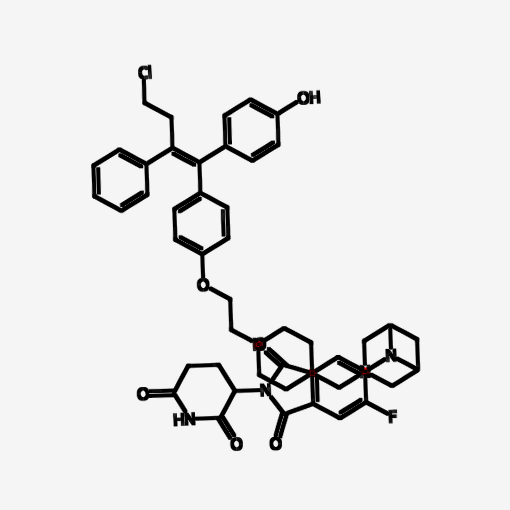 O=C1CCC(N2C(=O)c3cc(F)c(N4C5CC4CN(CC4CCN(CCOc6ccc(C(=C(CCCl)c7ccccc7)c7ccc(O)cc7)cc6)CC4)C5)cc3C2=O)C(=O)N1